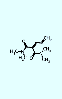 C=CC=C(C(=O)N(C)C)C(=O)N(C)C